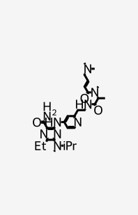 CCc1nc(C(N)=O)c(Nc2ccnc(CCNC(=O)C(C)N(C)C(=O)/C=C/CN(C)C)c2)nc1N(C)C(C)C